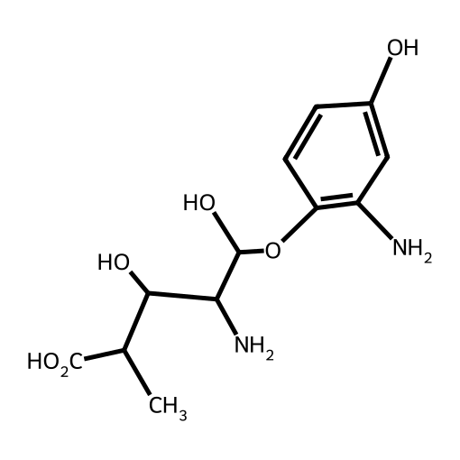 CC(C(=O)O)C(O)C(N)C(O)Oc1ccc(O)cc1N